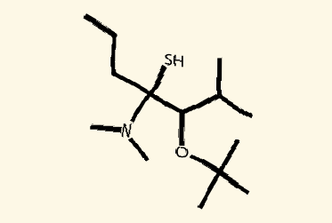 CCCC(S)(C(OC(C)(C)C)C(C)C)N(C)C